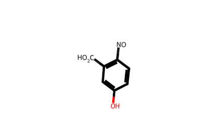 O=Nc1ccc(O)cc1C(=O)O